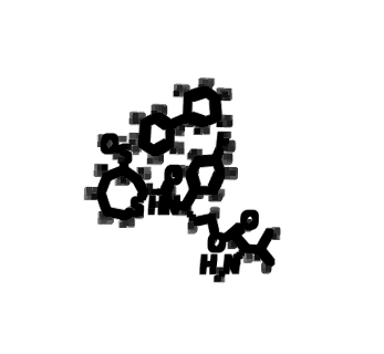 CC(C)[C@H](N)C(=O)OCC[C@H](NC(=O)[C@H]1CC([S+]([O-])c2ccc(-c3ccccc3)cc2)CCCCS1)c1ccc(F)cc1